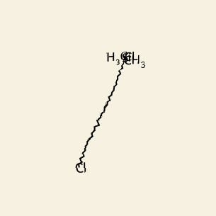 C[Si](C)(Cl)CCCCCCCCCCCCCCCCCCCCCCCCCCCCCCCCCCCCCCl